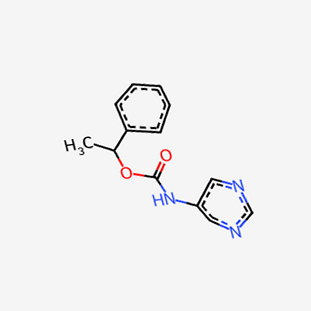 CC(OC(=O)Nc1cncnc1)c1ccccc1